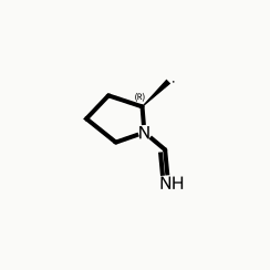 [CH2][C@@H]1CCCN1C=N